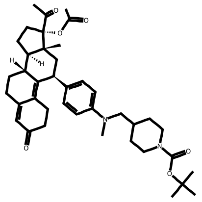 CC(=O)O[C@@]1(C(C)=O)CC[C@@H]2[C@H]3CCC4=CC(=O)CCC4=C3[C@H](c3ccc(N(C)CC4CCN(C(=O)OC(C)(C)C)CC4)cc3)C[C@]21C